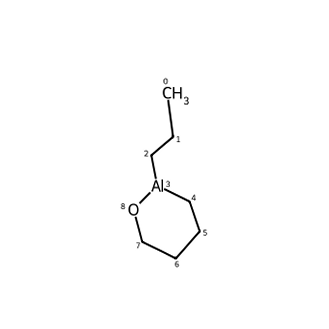 CC[CH2][Al]1[CH2]CCC[O]1